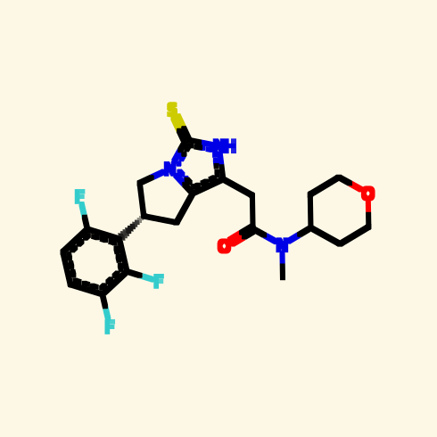 CN(C(=O)Cc1[nH]c(=S)n2c1C[C@H](c1c(F)ccc(F)c1F)C2)C1CCOCC1